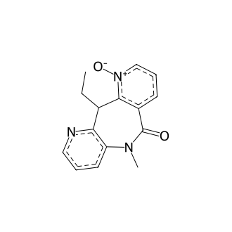 CCC1c2ncccc2N(C)C(=O)c2ccc[n+]([O-])c21